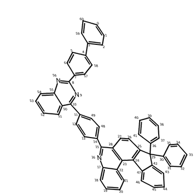 c1ccc(-c2ccc(-c3nc(-c4ccc(-c5nc6ccccc6c6c7c(ccc56)C(c5ccccc5)(c5ccccc5)c5ccccc5-7)cc4)c4ccccc4n3)cc2)cc1